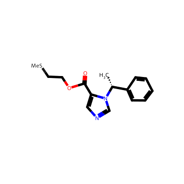 CSCCOC(=O)c1cncn1[C@H](C)c1ccccc1